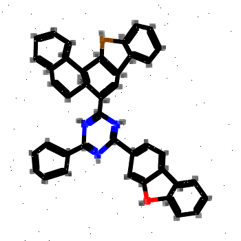 c1ccc(-c2nc(-c3ccc4c(c3)oc3ccccc34)nc(-c3cc4c5ccccc5sc4c4c3ccc3ccccc34)n2)cc1